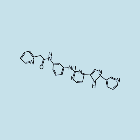 O=C(Cc1ccccn1)Nc1cccc(Nc2nccc(-c3cnc(-c4cccnc4)[nH]3)n2)c1